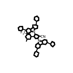 Cc1cc(-c2cc(-n3c4ccc(-c5ccccc5)cc4c4cc(-c5ccccc5)ccc43)c(C#N)cc2-n2c3ccc(-c4ccccc4)cc3c3cc(-c4ccccc4)ccc32)cc(C(F)(F)F)c1